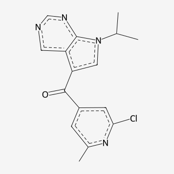 Cc1cc(C(=O)c2cn(C(C)C)c3ncncc23)cc(Cl)n1